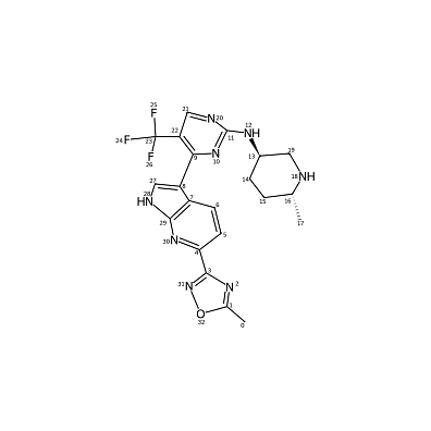 Cc1nc(-c2ccc3c(-c4nc(N[C@@H]5CC[C@@H](C)NC5)ncc4C(F)(F)F)c[nH]c3n2)no1